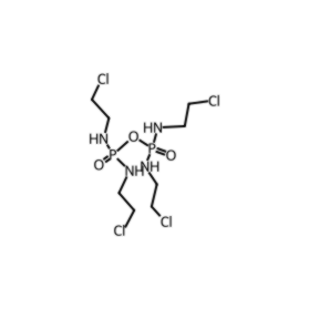 O=P(NCCCl)(NCCCl)OP(=O)(NCCCl)NCCCl